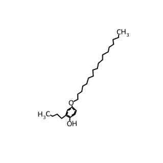 CCCCCCCCCCCCCCCCCCOc1ccc(O)c(CCCC)c1